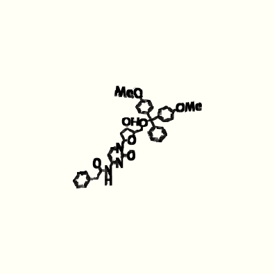 COc1ccc(C(OC[C@H]2O[C@@H](n3ccc(NC(=O)Cc4ccccc4)nc3=O)C[C@@H]2O)(c2ccccc2)c2ccc(OC)cc2)cc1